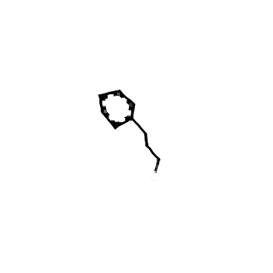 O=CCCCc1[c]cccc1